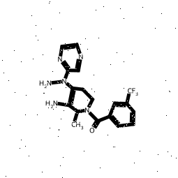 CC1C(N)=C(N(N)c2cnccn2)CCN1C(=O)c1cccc(C(F)(F)F)c1